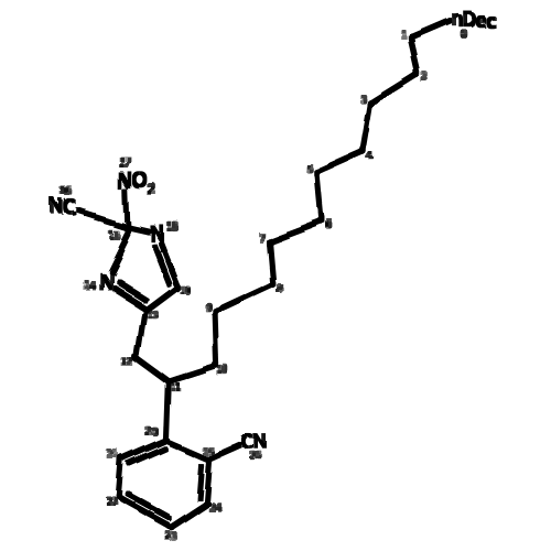 CCCCCCCCCCCCCCCCCCCCC(CC1=NC(C#N)([N+](=O)[O-])N=C1)c1ccccc1C#N